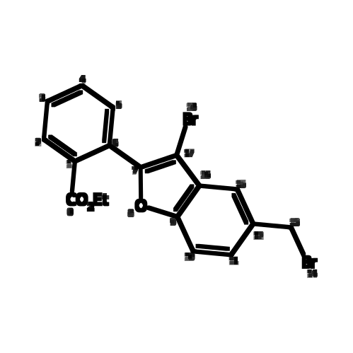 CCOC(=O)c1ccccc1-c1oc2ccc(CBr)cc2c1Br